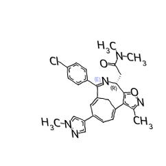 Cc1noc2c1C1=CC=C(c3cnn(C)c3)C=C(C1)/C(c1ccc(Cl)cc1)=N\[C@@H]2CC(=O)N(C)C